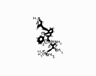 C[C@H](NC(=O)c1c(N)nn(C)c1C#C[Si](C)(C)C)c1cc2cccc(C#Cc3cnn(C)c3)c2c(=O)n1-c1ccccc1